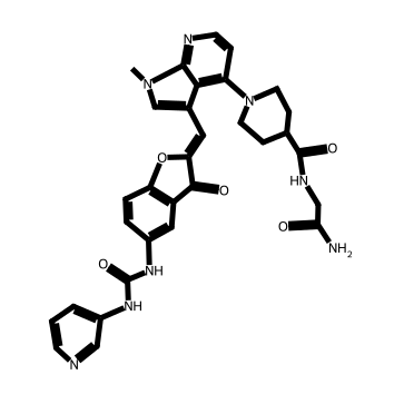 Cn1cc(C=C2Oc3ccc(NC(=O)Nc4cccnc4)cc3C2=O)c2c(N3CCC(C(=O)NCC(N)=O)CC3)ccnc21